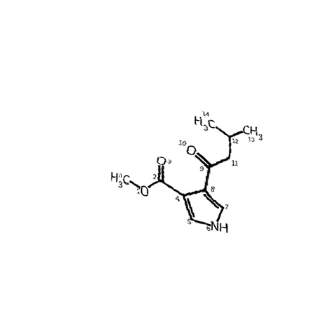 COC(=O)c1c[nH]cc1C(=O)CC(C)C